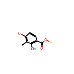 Cc1c(Br)ccc(C(=O)OF)c1C#N